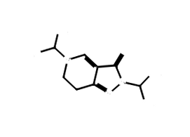 CC(C)N1C=C2C(=O)N(C(C)C)N=C2CC1